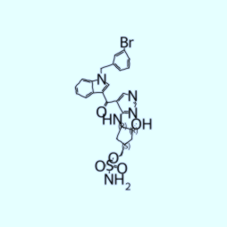 NS(=O)(=O)OC[C@@H]1C[C@@H](O)[C@H](Nc2ncncc2C(=O)c2cn(Cc3cccc(Br)c3)c3ccccc23)C1